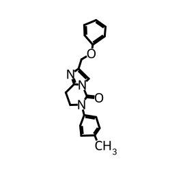 Cc1ccc(N2CCc3nc(COc4ccccc4)cn3C2=O)cc1